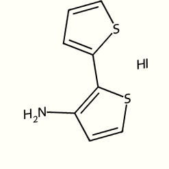 I.Nc1ccsc1-c1cccs1